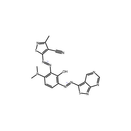 Cc1nsc(/N=N/c2c(N(C)C)ccc(/N=N/c3snc4ncncc34)c2O)c1C#N